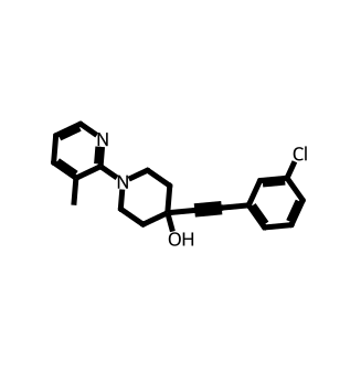 Cc1cccnc1N1CCC(O)(C#Cc2cccc(Cl)c2)CC1